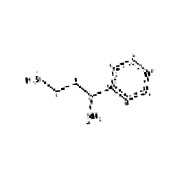 NC(CC[SiH3])c1ccccc1